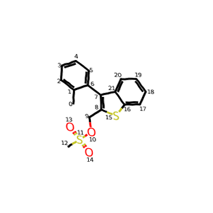 Cc1ccccc1-c1c(COS(C)(=O)=O)sc2ccccc12